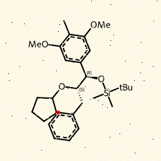 COc1cc([C@@H](O[Si](C)(C)C(C)(C)C)[C@H](Cc2ccccc2)OC2CCCC2)cc(OC)c1C